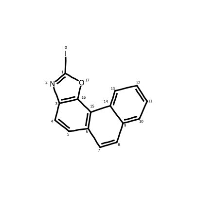 Ic1nc2ccc3ccc4ccccc4c3c2o1